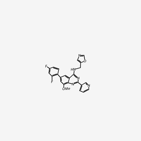 COc1cc(-c2ccc(F)cc2F)cc2c(NCc3cnco3)nc(-c3cccnc3)nc12